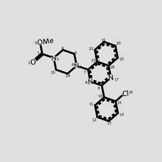 COC(=O)N1CCN(c2nc(-c3ccccc3Cl)nc3ccccc23)CC1